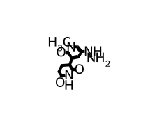 Cn1cc(NN)cc(C2CCC(=O)NC2=O)c1=O